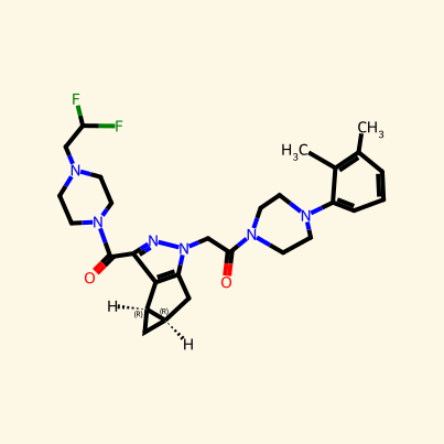 Cc1cccc(N2CCN(C(=O)Cn3nc(C(=O)N4CCN(CC(F)F)CC4)c4c3C[C@H]3C[C@@H]43)CC2)c1C